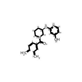 C=C/C=C\C(=C/C=C)C(=O)N1CCC[C@@H](Oc2cc(O)ccn2)C1